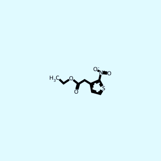 CCOC(=O)Cc1ccsc1[N+](=O)[O-]